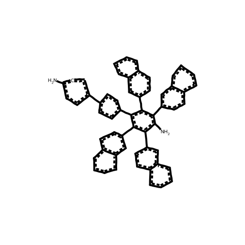 Nc1ccc(-c2ccc(-c3c(-c4ccc5ccccc5c4)c(-c4ccc5ccccc5c4)c(N)c(-c4ccc5ccccc5c4)c3-c3ccc4ccccc4c3)cc2)cc1